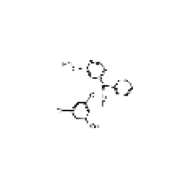 CC(C)(C)c1cc(Cl)cc([O][Ti]([F])=[C](c2ccccc2)c2ccccc2)c1.Cl.Cl